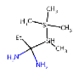 CCC(N)(N)[SiH](C)[Si](C)(C)C